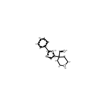 O=CC1(c2cnc(-c3ccccc3)s2)CCOCC1